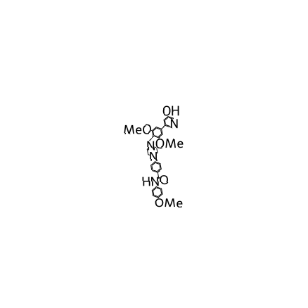 COc1ccc(NC(=O)c2ccc(N3CCN(Cc4c(OC)cc(-c5cncc(O)c5)cc4OC)CC3)cc2)cc1